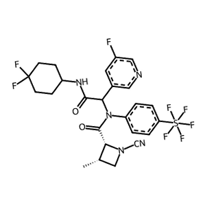 C[C@H]1CN(C#N)[C@H]1C(=O)N(c1ccc(S(F)(F)(F)(F)F)cc1)C(C(=O)NC1CCC(F)(F)CC1)c1cncc(F)c1